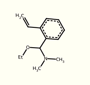 C=Cc1ccccc1C(OCC)N(C)C